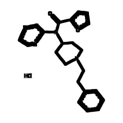 Cl.O=C(c1ccco1)N(c1cnccn1)C1CCN(CCc2ccccc2)CC1